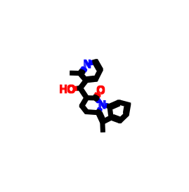 Cc1ncccc1C(O)C1CCc2c(C)c3ccccc3n2C1=O